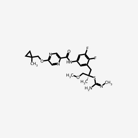 C/N=C(/N)S[C@@](C)(COC)Cc1cc(NC(=O)c2cnc(OCC3(C)CC3)cn2)cc(F)c1F